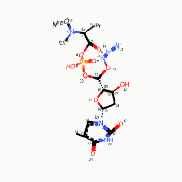 CCN(OC)[C@H](C(=O)OP(=O)(O)OC(ON=[N+]=[N-])[C@H]1O[C@@H](n2cc(C)c(=O)[nH]c2=O)C[C@@H]1O)C(C)C